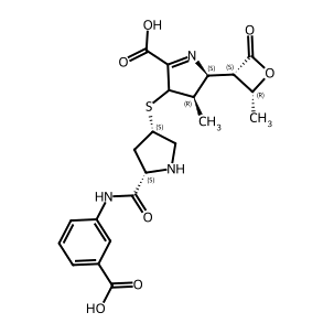 C[C@H]1OC(=O)[C@H]1[C@@H]1N=C(C(=O)O)C(S[C@@H]2CN[C@H](C(=O)Nc3cccc(C(=O)O)c3)C2)[C@@H]1C